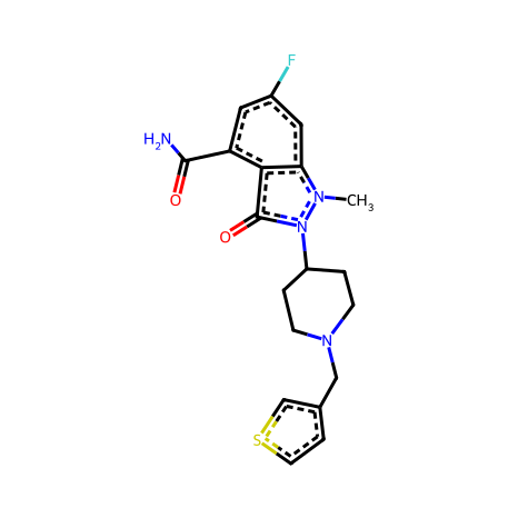 Cn1c2cc(F)cc(C(N)=O)c2c(=O)n1C1CCN(Cc2ccsc2)CC1